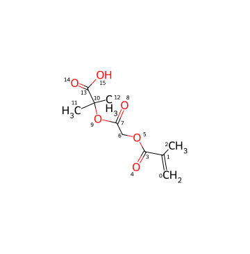 C=C(C)C(=O)OCC(=O)OC(C)(C)C(=O)O